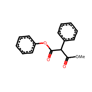 COC(=O)C(C(=O)Oc1ccccc1)c1ccccc1